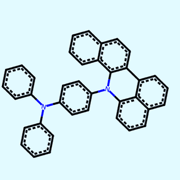 c1ccc(N(c2ccccc2)c2ccc(N3c4c(ccc5ccccc45)-c4cccc5cccc3c45)cc2)cc1